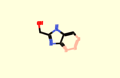 OCc1nc2bbbcc2[nH]1